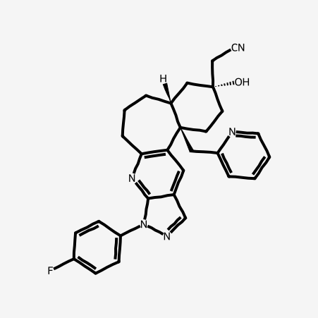 N#CC[C@@]1(O)CC[C@]2(Cc3ccccn3)c3cc4cnn(-c5ccc(F)cc5)c4nc3CCC[C@@H]2C1